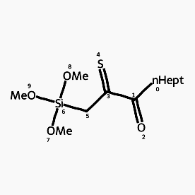 CCCCCCCC(=O)C(=S)C[Si](OC)(OC)OC